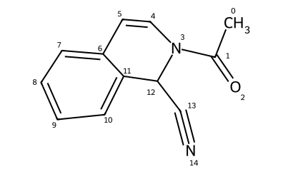 CC(=O)N1C=Cc2ccccc2C1C#N